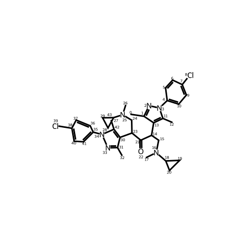 Cc1nn(-c2ccc(Cl)cc2)c(C)c1C(CN(C)C1CC1)C(=O)C(CN(C)C1CC1)c1c(C)nn(-c2ccc(Cl)cc2)c1C